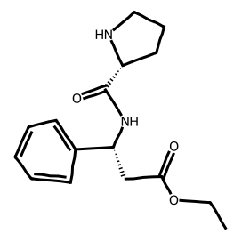 CCOC(=O)C[C@@H](NC(=O)[C@H]1CCCN1)c1ccccc1